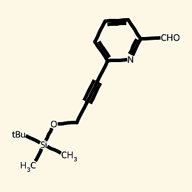 CC(C)(C)[Si](C)(C)OCC#Cc1cccc(C=O)n1